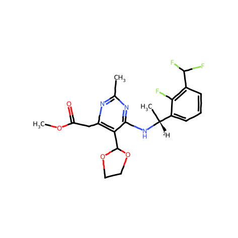 [2H][C@](C)(Nc1nc(C)nc(CC(=O)OC)c1C1OCCO1)c1cccc(C(F)F)c1F